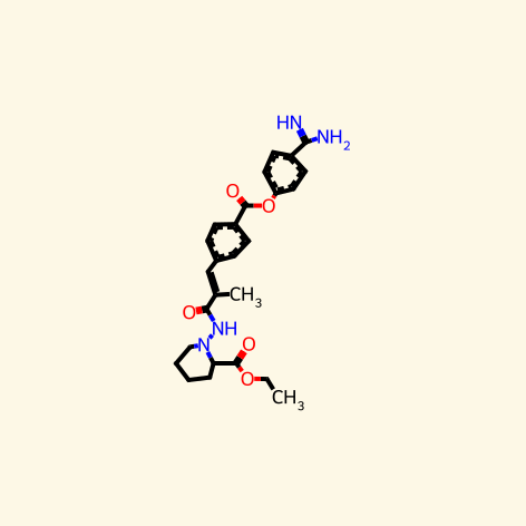 CCOC(=O)C1CCCCN1NC(=O)/C(C)=C/c1ccc(C(=O)Oc2ccc(C(=N)N)cc2)cc1